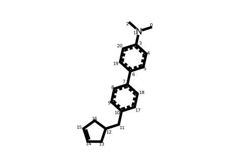 CN(C)c1ccc(-c2ccc(CC3CC=CC3)cc2)cc1